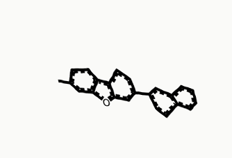 Cc1ccc2c(c1)oc1cc(-c3ccc4ccccc4c3)ccc12